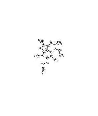 B[C@@H]1O[C@H](CC)[C@H](OP(C)OCC[N+]#[C-])C1OC(C)COC